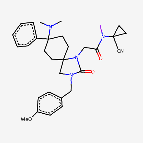 COc1ccc(CN2CC3(CCC(c4ccccc4)(N(C)C)CC3)N(CC(=O)N(I)C3(C#N)CC3)C2=O)cc1